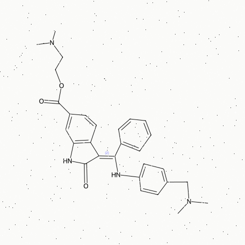 CN(C)CCOC(=O)c1ccc2c(c1)NC(=O)/C2=C(\Nc1ccc(CN(C)C)cc1)c1ccccc1